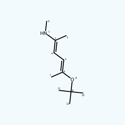 CN/C(C)=C/C=C(\C)OC(C)(C)C